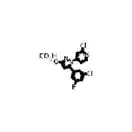 O=C(O)Oc1cc(-c2cc(F)cc(Cl)c2)n(-c2ccnc(Cl)c2)n1